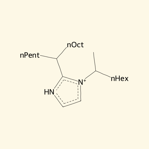 CCCCCCCCC(CCCCC)c1[nH]cc[n+]1C(C)CCCCCC